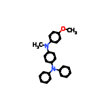 COc1ccc(N(C)c2ccc(N(c3ccccc3)c3ccccc3)cc2)cc1